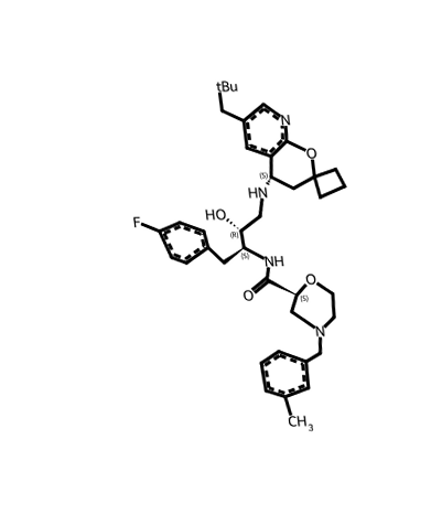 Cc1cccc(CN2CCO[C@H](C(=O)N[C@@H](Cc3ccc(F)cc3)[C@H](O)CN[C@H]3CC4(CCC4)Oc4ncc(CC(C)(C)C)cc43)C2)c1